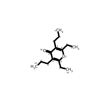 CCCc1c(CC)oc(CC)c(CCC)c1=O